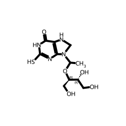 CC(O[C@H](CO)[C@H](O)CO)N1CNc2c1nc(S)[nH]c2=O